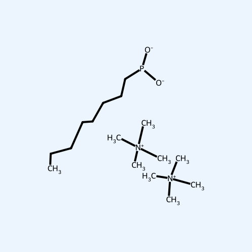 CCCCCCCCP([O-])[O-].C[N+](C)(C)C.C[N+](C)(C)C